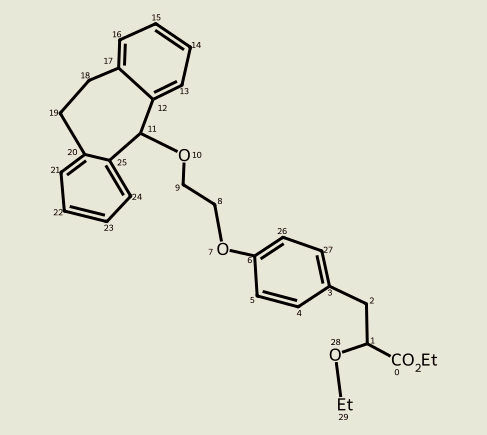 CCOC(=O)C(Cc1ccc(OCCOC2c3ccccc3CCc3ccccc32)cc1)OCC